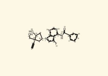 C#C[C@]1(CO)C[C@@H](n2cc(F)c3c(NC(=O)c4ccccc4)ncnc32)C[C@@H]1O